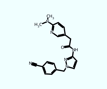 CN(C)c1ccc(CC(=O)Nc2ccn(Cc3ccc(C#N)cc3)n2)cn1